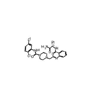 CC(C)[C@H](Nc1nc(CN2CCN(C(=O)Nc3cc(Cl)ccc3Cl)CC2)nc2ccccc12)C(N)=O